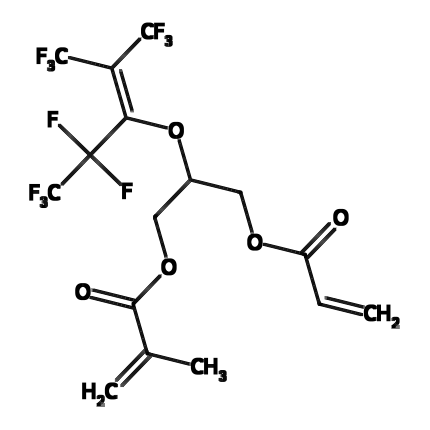 C=CC(=O)OCC(COC(=O)C(=C)C)OC(=C(C(F)(F)F)C(F)(F)F)C(F)(F)C(F)(F)F